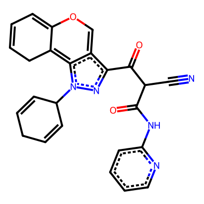 N#CC(C(=O)Nc1ccccn1)C(=O)c1nn(C2C=CCC=C2)c2c1=COC1=CC=CCC=21